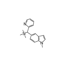 Cn1ccc2cc(C(c3ccccn3)[Si](C)(C)C)ccc21